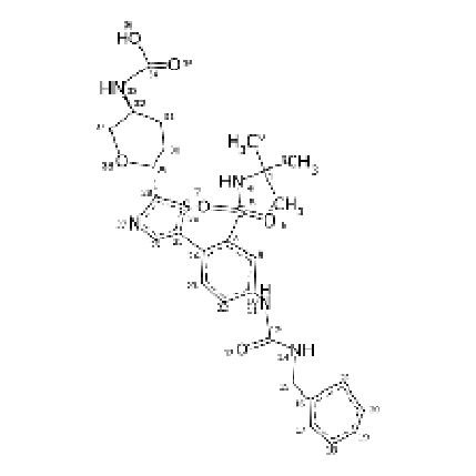 CC(C)(C)NS(=O)(=O)c1cc(NC(=O)NCc2ccccc2)ccc1-c1cnc([C@H]2CC[C@H](NC(=O)O)CO2)s1